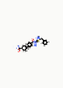 C[C@]1(c2ccc(C(=O)Nc3nnc(Cc4ccccc4)s3)cc2)CC[C@H](C(N)=O)CC1